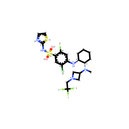 CN(C1CN(CC(F)(F)F)C1)[C@H]1CCCC[C@@H]1Nc1cc(F)c(S(=O)(=O)Nc2nccs2)cc1Cl